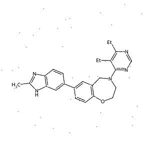 CCc1ncnc(N2CCOc3ccc(-c4ccc5nc(C)[nH]c5c4)cc3C2)c1CC